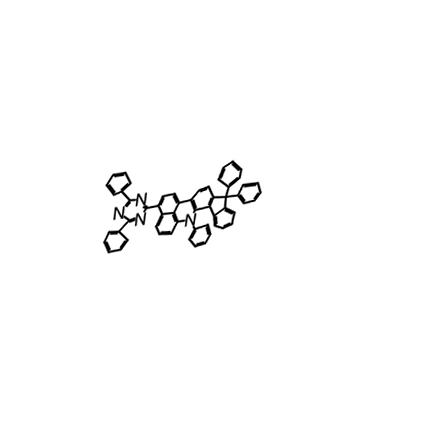 c1ccc(-c2nc(-c3ccccc3)nc(-c3ccc4c5c(cccc35)N(c3ccccc3)c3c-4ccc4c3-c3ccccc3C4(c3ccccc3)c3ccccc3)n2)cc1